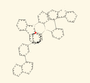 c1cc(-c2ccc(N(c3ccccc3-c3cccc4oc5ccccc5c34)c3ccccc3-n3c4ccccc4c4ccccc43)cc2)cc(-c2cccc3ccccc23)c1